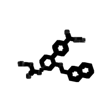 COC(=O)c1ccc(C2CCN(OC(=O)OC(C)(C)C)CC2OCc2ccc3ccccc3c2)cc1